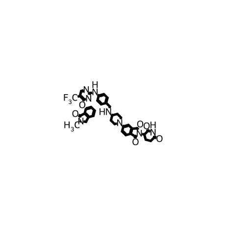 CN1Cc2cccc(Oc3nc(Nc4ccc(CNC5CCN(c6ccc7c(c6)C(=O)N(C6CCC(=O)NC6=O)C7=O)CC5)cc4)ncc3C(F)(F)F)c2C1=O